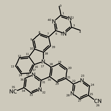 Cc1nc(C)nc(-c2ccc3c4ccccc4n(-c4ccc(-c5ncc(C#N)cn5)cc4-c4ncc(C#N)cn4)c3c2)n1